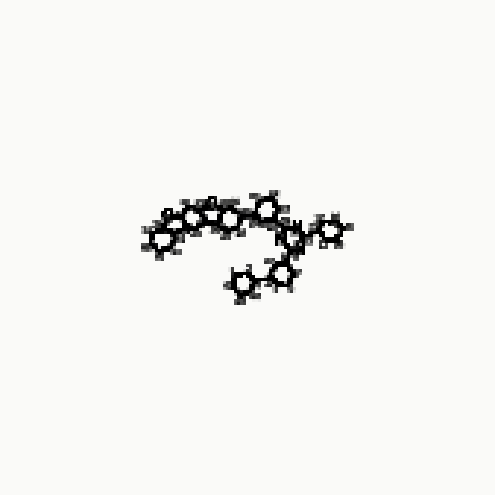 c1ccc(-c2cccc(-c3nc(-c4ccccc4)nc(-c4cccc(-c5ccc6c(c5)oc5cc7oc8ccccc8c7cc56)c4)n3)c2)cc1